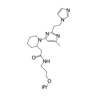 Cc1cc(N2CCCCC2CC(=O)NCCCOC(C)C)nc(CCn2ccnc2)n1